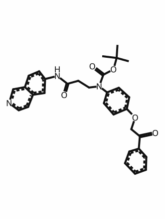 CC(C)(C)OC(=O)N(CCC(=O)Nc1ccc2cnccc2c1)c1ccc(OCC(=O)c2ccccc2)cc1